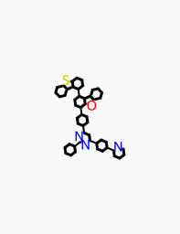 c1ccc(-c2nc(-c3ccc(-c4ccccn4)cc3)cc(-c3ccc(-c4ccc(-c5cccc6sc7ccccc7c56)c5c4oc4ccccc45)cc3)n2)cc1